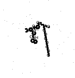 CCN(CC)c1ccc(NC(=O)c2cccc(C(=O)N(C)CCN(CCOC)CCOCCOCCOCCOCCOCCOCCOC)c2)c(-c2cc(C(=O)N[C@H]3CCCc4ccccc43)ccn2)c1